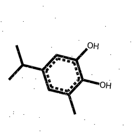 Cc1cc(C(C)C)cc(O)c1O